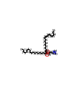 CC/C=C\C/C=C\C/C=C\CCCCCCCCC1(CCCCCCCC/C=C\C/C=C\C/C=C\CC)OCC(CCN(C)C)O1